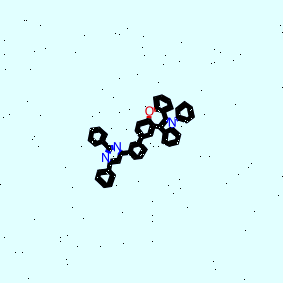 c1ccc(-c2cc(-c3cccc(-c4ccc5c(c4)-c4c(n(-c6ccccc6)c6ccccc46)-c4ccccc4O5)c3)nc(-c3ccccc3)n2)cc1